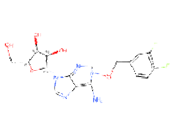 NC1=c2ncn([C@@H]3O[C@H](CO)[C@@H](O)[C@H]3O)c2=NCN1OCc1ccc(F)c(F)c1